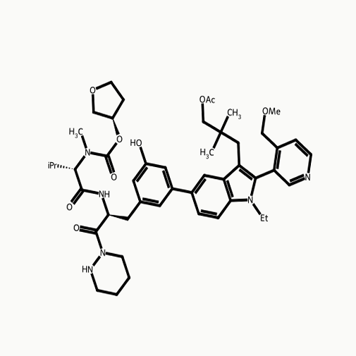 CCn1c(-c2cnccc2COC)c(CC(C)(C)COC(C)=O)c2cc(-c3cc(O)cc(C[C@H](NC(=O)[C@H](C(C)C)N(C)C(=O)O[C@@H]4CCOC4)C(=O)N4CCCCN4)c3)ccc21